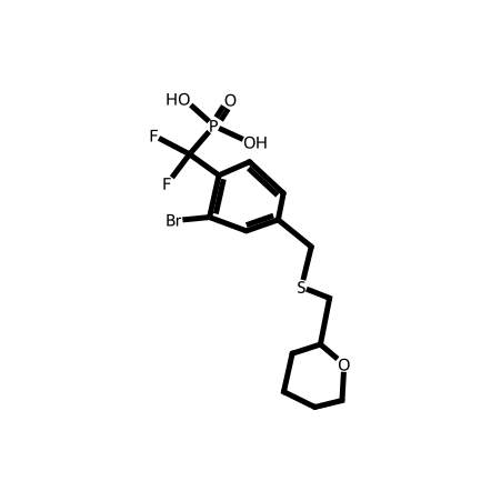 O=P(O)(O)C(F)(F)c1ccc(CSCC2CCCCO2)cc1Br